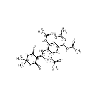 CC(=O)OC[C@H]1O[C@H](OC(C)=O)[C@@H](NC(C)=C2C(=O)CC(C)(C)CC2=O)[C@@H](OC(C)=O)[C@@H]1OC(C)=O